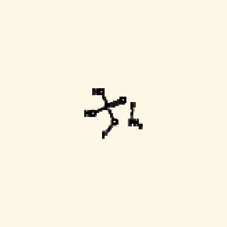 FP.O=P(O)(O)OF